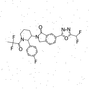 CC(F)(F)C(=O)N1CCCC(N2Cc3ccc(-c4nnc(C(F)F)o4)cc3C2=O)C1c1ccc(F)cc1